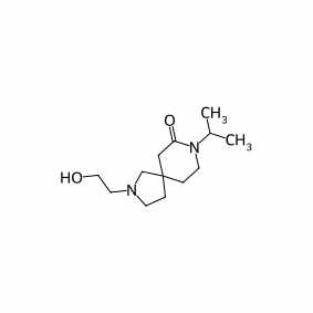 CC(C)N1CCC2(CCN(CCO)C2)CC1=O